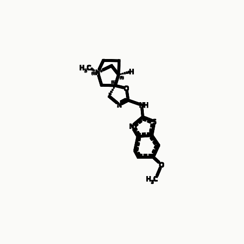 COc1ccc2nc(NC3=NC[C@@]4(C[N@@+]5(C)CC[C@@H]4C5)O3)sc2c1